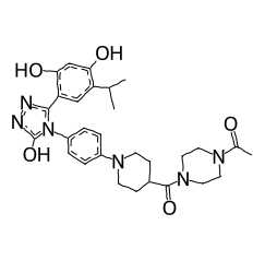 CC(=O)N1CCN(C(=O)C2CCN(c3ccc(-n4c(O)nnc4-c4cc(C(C)C)c(O)cc4O)cc3)CC2)CC1